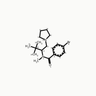 CN(C(=O)c1ccc(Br)cc1)C(CN1CCCC1)C(C)(C)C